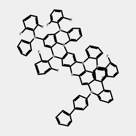 Fc1cccc(F)c1N(c1ccccc1)c1cc2c3c(c1)N(c1c(F)cccc1F)c1cc4c(cc1B3c1ccccc1N2c1c(F)cccc1F)B1c2ccccc2N(c2c(F)cccc2F)c2cc(N(c3ccc(-c5ccccc5)cc3)c3ccccc3-c3ccccc3)cc(c21)S4